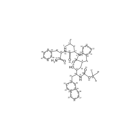 CC(C)CC(NC(=O)C(Cc1ccccc1)CC(O)C(Cc1ccc2ccccc2c1)NC(=O)OC(C)(C)C)C(=O)NC(Cc1ccccc1)C(N)=O